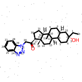 CC[C@@]1(O)CCC2[C@@H](CCC3(C)[C@@H]2CC[C@]2(C)[C@@H](C(=O)Cn4nnc5ccccc54)CC[C@@H]32)C1